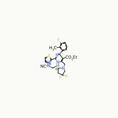 CCOC(=O)C1=C(CN2CC(F)(F)C[C@@H]2CCNC#N)NC(c2nccs2)=N[C@H]1c1cccc(F)c1C